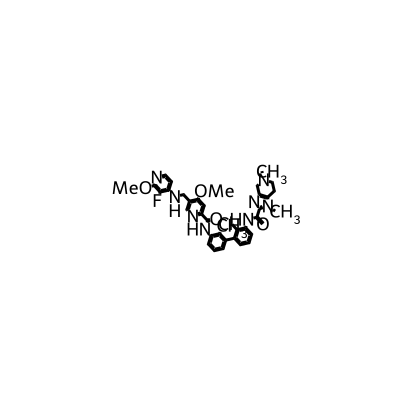 COc1cc(C(=O)Nc2cccc(-c3cccc(NC(=O)c4nc5c(n4C)CCN(C)C5)c3Cl)c2C)ncc1CNc1ccnc(OC)c1F